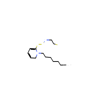 CCCCCCCCCCCCCCCCN1CC=CC=C1SSN[C@@H](CS)C(=O)O